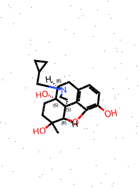 CC1(O)CC[C@@]2(O)[C@H]3Cc4ccc(O)c5c4[C@@]2(CCN3CC2CC2)[C@H]1O5